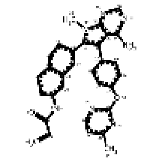 C=CC(=O)Nc1ccc2ccc(-c3c(-c4ccc(Oc5nccc(C)n5)cc4)c4c(N)ncnc4n3C)cc2c1